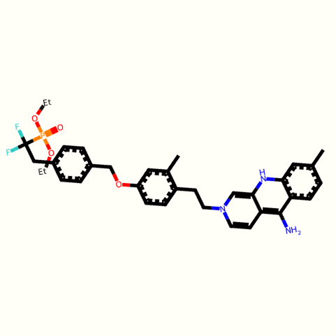 CCOP(=O)(OCC)C(F)(F)Cc1ccc(COc2ccc(CCN3C=CC4=C(N)c5ccc(C)cc5NC4=C3)c(C)c2)cc1